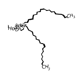 CCCCCCCC/C=C\CCCCCCCC[N+]1(CCCCCCCC/C=C\CCCCCCCC)C=NCC1.O=S(=O)(O)O